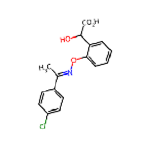 C/C(=N\Oc1ccccc1C(O)C(=O)O)c1ccc(Cl)cc1